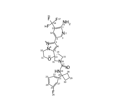 Nc1ncc(-c2cc3n(n2)CCO[C@@]32CCN(C(=O)NC3(c4cccc(F)c4)CCC3)C2)cc1C(F)(F)F